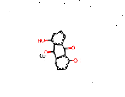 O=C1c2cccc(O)c2C(=O)c2cccc(O)c21.[Cu]